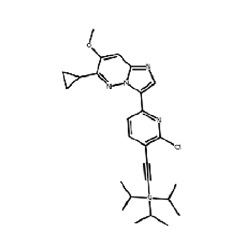 COc1cc2ncc(-c3ccc(C#C[Si](C(C)C)(C(C)C)C(C)C)c(Cl)n3)n2nc1C1CC1